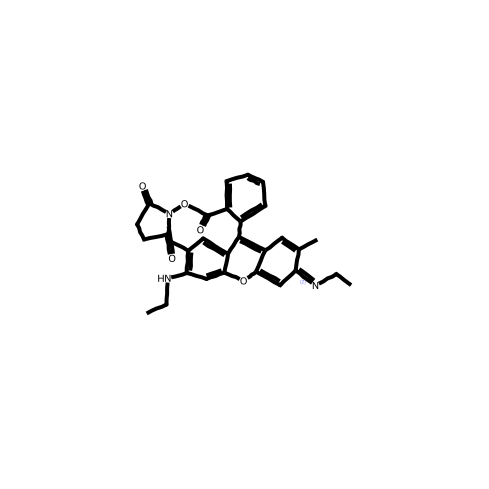 CC/N=c1/cc2oc3cc(NCC)c(C)cc3c(-c3ccccc3C(=O)ON3C(=O)CCC3=O)c-2cc1C